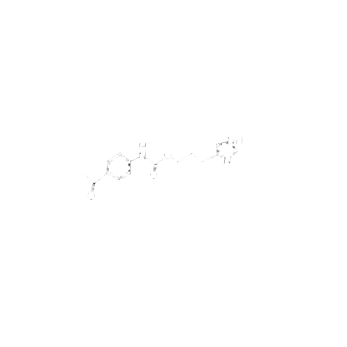 CC(=O)c1ccc(NC(=O)OCCCc2c[nH]cn2)cc1